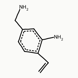 C=Cc1ccc(CN)cc1N